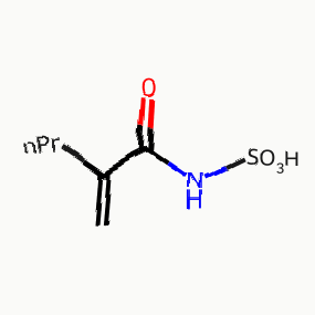 C=C(CCC)C(=O)NS(=O)(=O)O